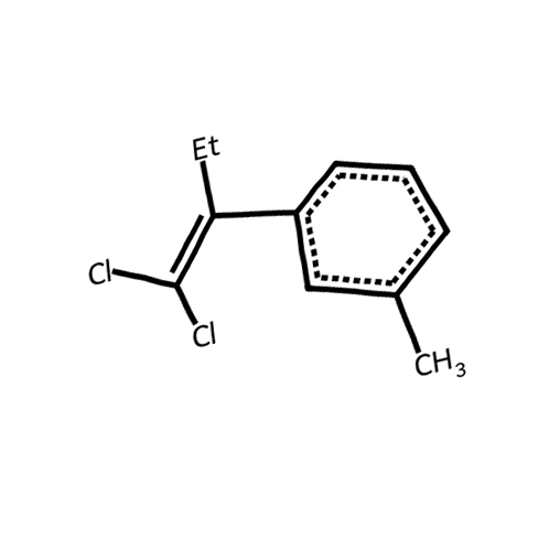 CCC(=C(Cl)Cl)c1cccc(C)c1